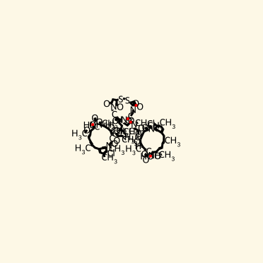 CO[C@@H]1/C=C/C=C(\C)Cc2cc(C)c(Cl)c(c2)N(C)C(=O)C[C@H](OC(=O)[C@H](C)N(C)C(=O)CCN2C(=O)CCN3C(=O)CC(SCSC4CC(=O)N(CCC(=O)N2CCC(=O)N(C)[C@@H](C)C(=O)O[C@H]2CC(=O)N(C)c5cc(cc(C)c5Cl)C/C(C)=C/C=C/[C@@H](OC)[C@@]5(O)CC(OC(=O)N5)[C@@H](C)[C@H]5O[C@@]25C)C4=O)C3=O)[C@]2(C)O[C@@H]2[C@H](C)C2C[C@@]1(O)NC(=O)O2